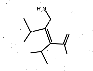 C=C(C)/C(=C(\CN)C(C)C)C(C)C